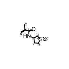 C=C(C)C(=O)NC1CC[S+]([O-])C1